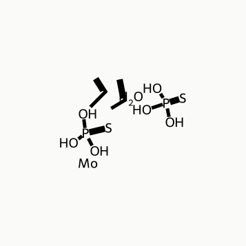 C=CC.C=CC.O.OP(O)(O)=S.OP(O)(O)=S.[Mo]